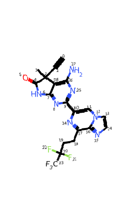 C#CC1(C)C(=O)Nc2nc(-c3cn4ccnc4c(CCC(F)(F)C(F)(F)F)n3)nc(N)c21